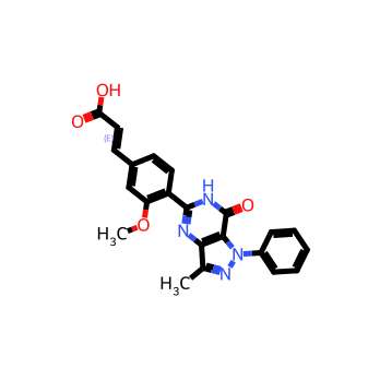 COc1cc(/C=C/C(=O)O)ccc1-c1nc2c(C)nn(-c3ccccc3)c2c(=O)[nH]1